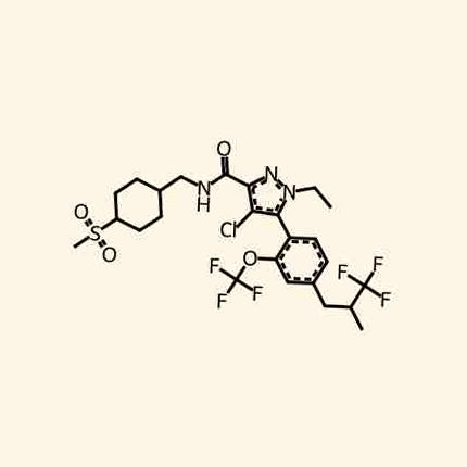 CCn1nc(C(=O)NCC2CCC(S(C)(=O)=O)CC2)c(Cl)c1-c1ccc(CC(C)C(F)(F)F)cc1OC(F)(F)F